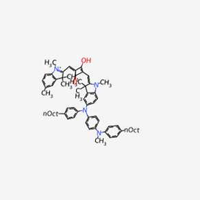 CCCCCCCCc1ccc(N(C)c2ccc(N(c3ccc(CCCCCCCC)cc3)c3ccc4c(c3)C(C)(C)/C(=C\C3=C(O)C(=C/C5=[N+](C)c6ccc(C)cc6C5(C)C)/C3=O)N4C)cc2)cc1